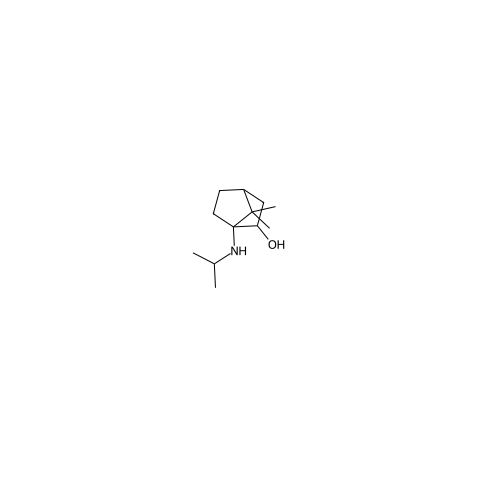 CC(C)NC12CCC(CC1O)C2(C)C